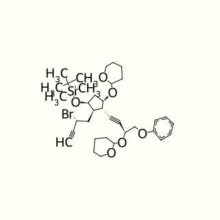 C#C[C@H](Br)C[C@@H]1[C@@H](C#C[C@@H](COc2ccccc2)OC2CCCCO2)[C@H](OC2CCCCO2)C[C@@H]1O[Si](C)(C)C(C)(C)C